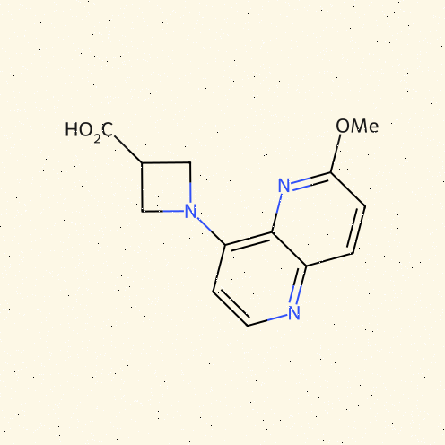 COc1ccc2nccc(N3CC(C(=O)O)C3)c2n1